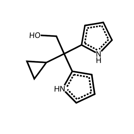 OCC(c1ccc[nH]1)(c1ccc[nH]1)C1CC1